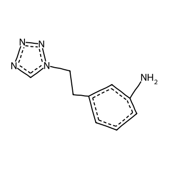 Nc1cccc(CCn2cnnn2)c1